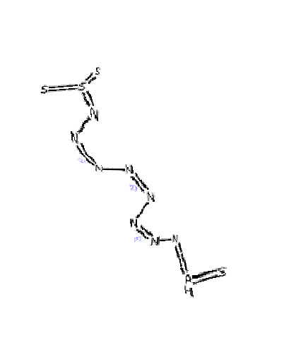 S=[PH]=N\N=N/N=N\N=N/N=S(=S)=S